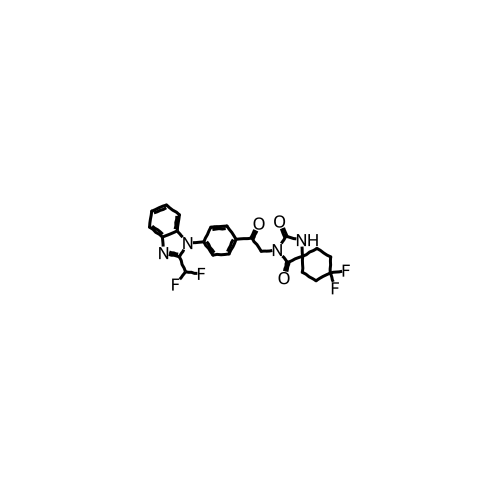 O=C(CN1C(=O)NC2(CCC(F)(F)CC2)C1=O)c1ccc(-n2c(C(F)F)nc3ccccc32)cc1